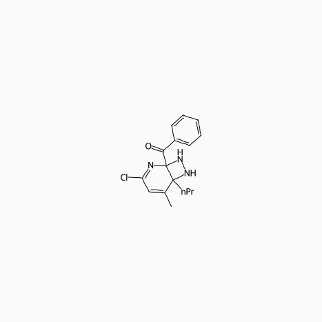 CCCC12NNC1(C(=O)c1ccccc1)N=C(Cl)C=C2C